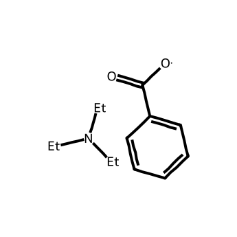 CCN(CC)CC.[O]C(=O)c1ccccc1